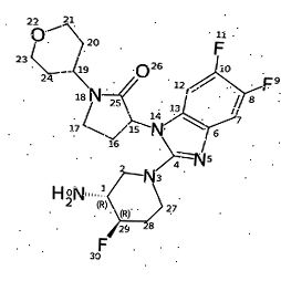 N[C@@H]1CN(c2nc3cc(F)c(F)cc3n2C2CCN(C3CCOCC3)C2=O)CC[C@H]1F